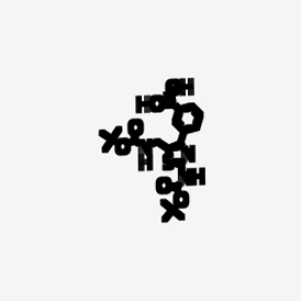 CC(C)(C)OC(=O)NCc1sc(NC(=O)OC(C)(C)C)nc1-c1cccc(B(O)O)c1